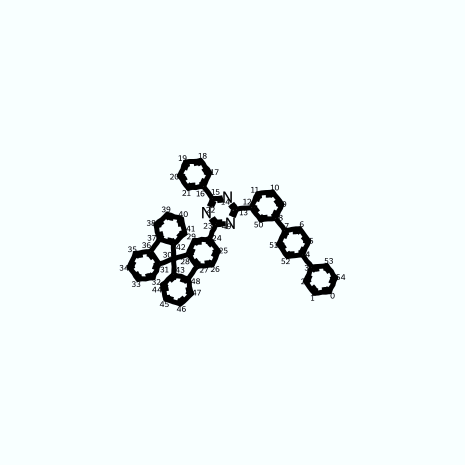 c1ccc(-c2ccc(-c3cccc(-c4nc(-c5ccccc5)nc(-c5ccc6c(c5)C5(c7ccccc7-c7ccccc75)c5ccccc5-6)n4)c3)cc2)cc1